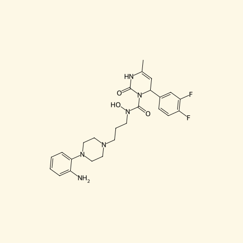 CC1=CC(c2ccc(F)c(F)c2)N(C(=O)N(O)CCCN2CCN(c3ccccc3N)CC2)C(=O)N1